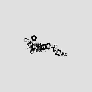 CCC1CN(C)C2=C(N[C@@](N)(Nc3cc4c(cc3OC)CN(C(=O)CN3CCN(C(C)=O)CC3)CC4)NC2=O)N1C1CCCC1